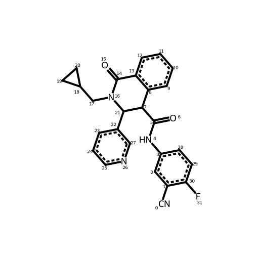 N#Cc1cc(NC(=O)C2c3ccccc3C(=O)N(CC3CC3)C2c2cccnc2)ccc1F